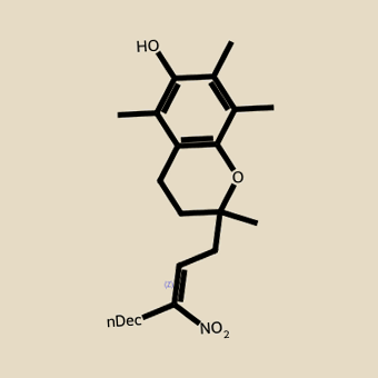 CCCCCCCCCC/C(=C/CC1(C)CCc2c(C)c(O)c(C)c(C)c2O1)[N+](=O)[O-]